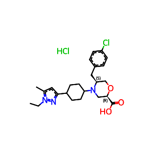 CCn1nc(C2CCC(N3C[C@H](C(=O)O)OC[C@@H]3Cc3ccc(Cl)cc3)CC2)cc1C.Cl